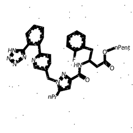 CCCCCOC(=O)CC(Cc1ccccc1F)NC(=O)c1cc(CCC)n(Cc2ccc(-c3ccccc3-c3nnn[nH]3)nc2)n1